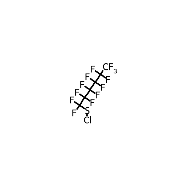 FC(F)(F)C(F)(F)C(F)(F)C(F)(F)C(F)(F)C(F)(F)SCl